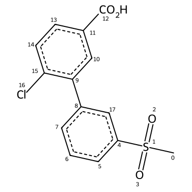 CS(=O)(=O)c1cccc(-c2cc(C(=O)O)ccc2Cl)c1